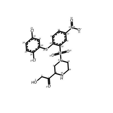 O=C(CO)C1CN(S(=O)(=O)c2cc([N+](=O)[O-])ccc2Sc2cc(Cl)ccc2Cl)CCN1